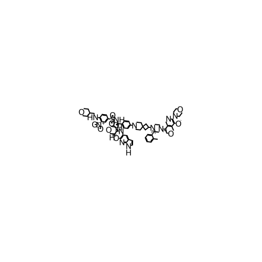 COc1c(N2CCOCC2)ncc2c1COC[C@@H]2N1CCN(C2CC3(CCN(c4ccc(C(=O)NS(=O)(=O)c5ccc(NCC6CCOCC6)c([N+](=O)[O-])c5)c(N5c6cc7cc[nH]c7nc6O[C@H]6COCC[C@@H]65)c4)CC3)C2)[C@H](c2ccccc2C)C1